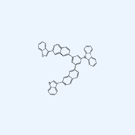 c1ccc2c(-c3ccc4ccc(-c5cc(-c6ccc7ccc(-c8csc9ccccc89)cc7c6)cc(-n6c7ccccc7c7ccccc76)c5)cc4c3)csc2c1